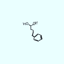 OC(O)CC=Cc1ccccc1